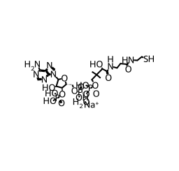 CC(C)(COP(=O)(O)OP(=O)(O)OC[C@H]1OC(n2cnc3c(N)ncnc32)[C@H](O)[C@@H]1OP(=O)(O)O)[C@@H](O)C(=O)NCCC(=O)NCCS.O.[Na+]